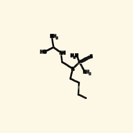 CCCCN(CNC(N)O)P(N)(N)=S